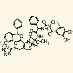 CO[C@@]1(NC(=O)C(NC(=O)N(C)C(=O)c2ccc(O)c(O)c2)c2ccccc2)C(=O)N2C(C(=O)OC(c3ccccc3)c3ccccc3)=C(CSc3nnnn3C)CS[C@H]21